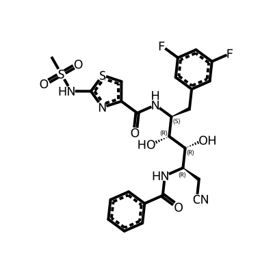 CS(=O)(=O)Nc1nc(C(=O)N[C@@H](Cc2cc(F)cc(F)c2)[C@@H](O)[C@H](O)[C@@H](CC#N)NC(=O)c2ccccc2)cs1